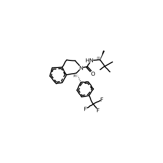 C[C@H](NC(=O)N1CCc2ccccc2[C@H]1c1ccc(C(F)(F)F)cc1)C(C)(C)C